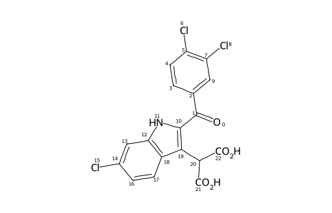 O=C(c1ccc(Cl)c(Cl)c1)c1[nH]c2cc(Cl)ccc2c1C(C(=O)O)C(=O)O